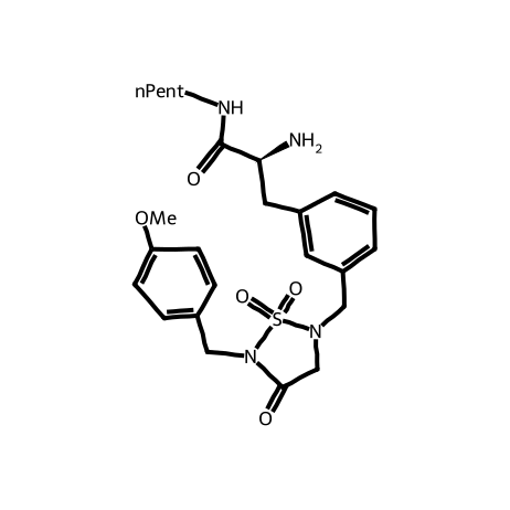 CCCCCNC(=O)[C@@H](N)Cc1cccc(CN2CC(=O)N(Cc3ccc(OC)cc3)S2(=O)=O)c1